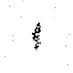 C=C(c1ccc2nc(C)sc2c1)c1cnc(NCC(C)(C)F)nc1C